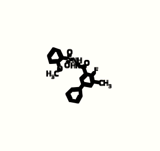 COc1ccccc1S(=O)(=O)NNC(=O)c1cc(-c2ccccc2)cc(C)c1F